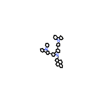 c1ccc(-n2c3ccccc3c3ccc(-c4ccc5c(c4)c4cc(-c6ccc(-n7c8ccccc8c8ccccc87)cc6)ccc4n5Cc4ccc5ccc6cccc7ccc4c5c67)cc32)cc1